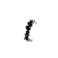 CC1CN(C(=O)OC(C)(C)C)CC(C)N1c1ccc(-c2cnc3c(-c4cccc5c(C(N)=O)cccc45)cnn3c2)cc1